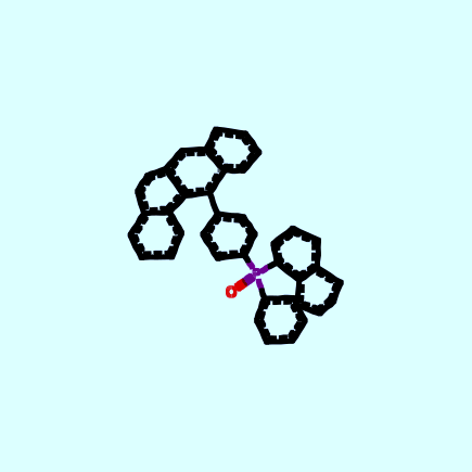 O=P(c1ccccc1)(c1ccc(-c2c3ccccc3cc3ccc4ccccc4c23)cc1)c1cccc2ccccc12